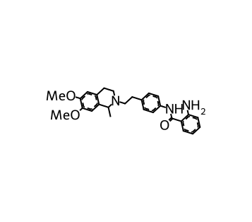 COc1cc2c(cc1OC)C(C)N(CCc1ccc(NC(=O)c3ccccc3N)cc1)CC2